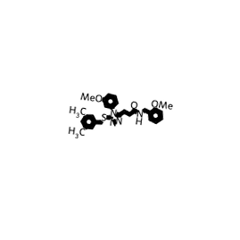 COc1cccc(-n2c(CCC(=O)NCc3ccccc3OC)nnc2SCc2cc(C)cc(C)c2)c1